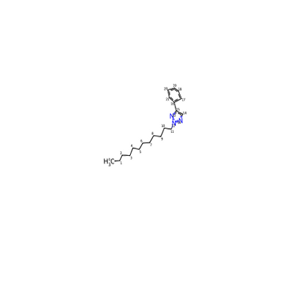 CCCCCCCCCCCCn1ncc(-c2ccccc2)n1